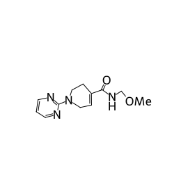 COCNC(=O)C1=CCN(c2ncccn2)CC1